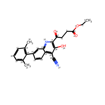 CCOC(=O)CCC(=O)c1nc2cc(-c3c(C)cccc3C)ccc2c(C#N)c1O